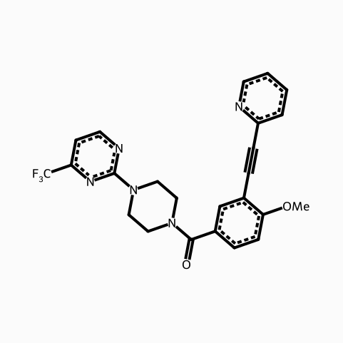 COc1ccc(C(=O)N2CCN(c3nccc(C(F)(F)F)n3)CC2)cc1C#Cc1ccccn1